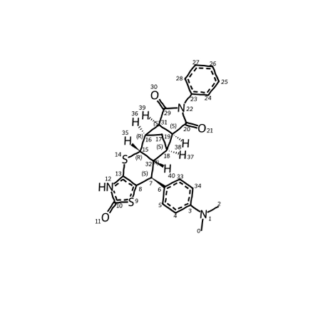 CN(C)c1ccc([C@H]2c3sc(=O)[nH]c3S[C@@H]3[C@@H]4C[C@@H]([C@@H]5C(=O)N(c6ccccc6)C(=O)[C@H]45)[C@H]23)cc1